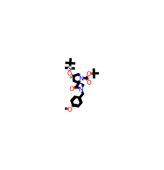 COc1ccc(CN2C[C@]3(C[C@@H](O[Si](C)(C)C(C)(C)C)CN3C(=O)OC(C)(C)C)C2=O)cc1